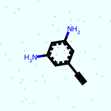 C#Cc1cc(N)cc(N)c1